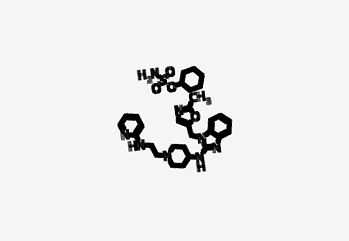 Cc1ncc(Cn2c(NC3CCN(CCNc4ccccn4)CC3)nc3ccccc32)o1.NS(=O)(=O)OC1CCCCC1